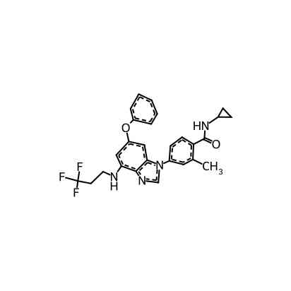 Cc1cc(-n2cnc3c(NCCC(F)(F)F)cc(Oc4ccccc4)cc32)ccc1C(=O)NC1CC1